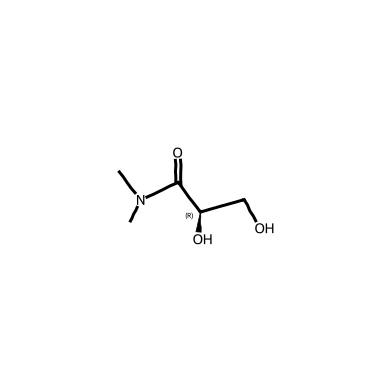 CN(C)C(=O)[C@H](O)CO